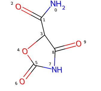 NC(=O)C1OC(=O)NC1=O